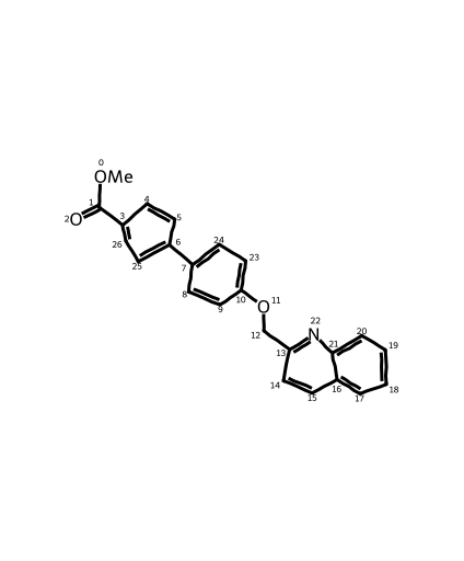 COC(=O)c1ccc(-c2ccc(OCc3ccc4ccccc4n3)cc2)cc1